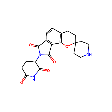 O=C1CCC(N2C(=O)c3ccc4c(c3C2=O)OC2(CCNCC2)CC4)C(=O)N1